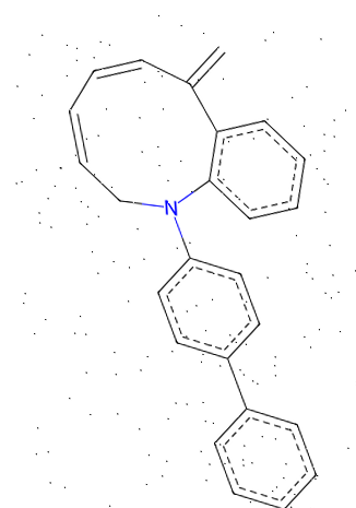 C=C1/C=C\C=C/CN(c2ccc(-c3ccccc3)cc2)c2ccccc21